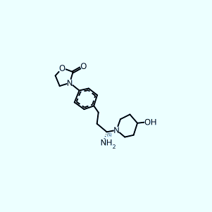 N[C@H](CCc1ccc(N2CCOC2=O)cc1)N1CCC(O)CC1